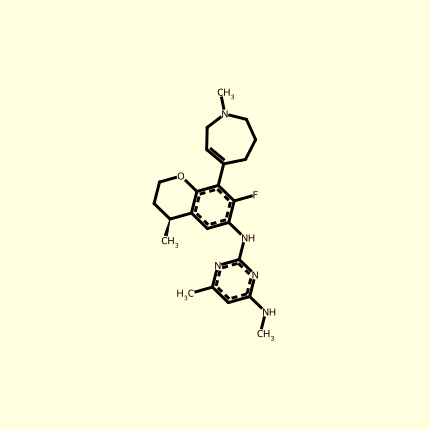 CNc1cc(C)nc(Nc2cc3c(c(C4=CCN(C)CCC4)c2F)OCC[C@@H]3C)n1